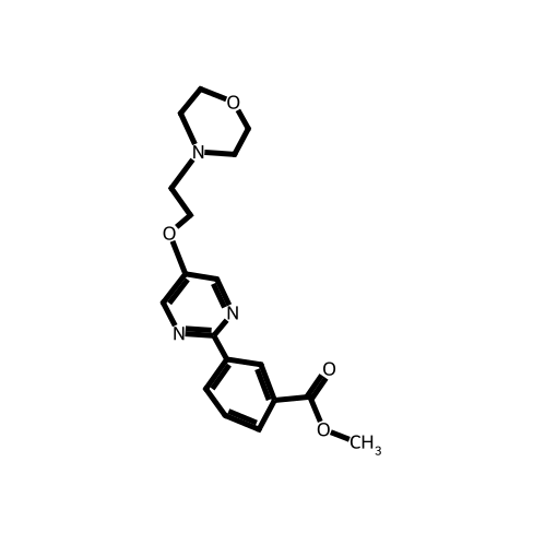 COC(=O)c1cccc(-c2ncc(OCCN3CCOCC3)cn2)c1